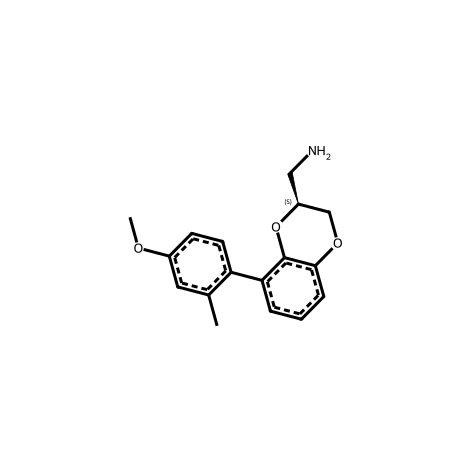 COc1ccc(-c2cccc3c2O[C@@H](CN)CO3)c(C)c1